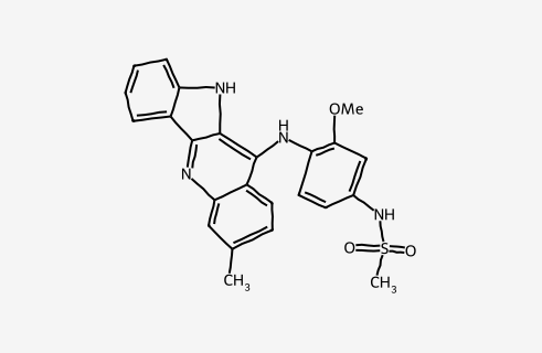 COc1cc(NS(C)(=O)=O)ccc1Nc1c2ccc(C)cc2nc2c1[nH]c1ccccc12